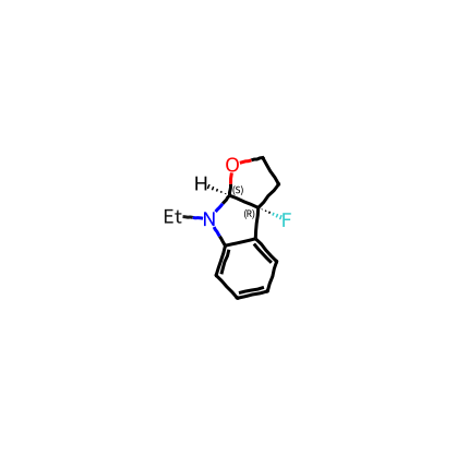 CCN1c2ccccc2[C@]2(F)CCO[C@H]12